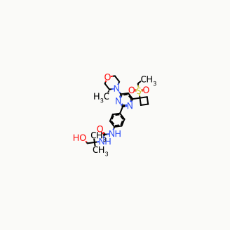 CCS(=O)(=O)C1(c2cc(N3CCOC[C@@H]3C)nc(-c3ccc(NC(=O)NC(C)(C)CO)cc3)n2)CCC1